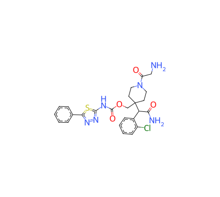 NCC(=O)N1CCC(COC(=O)Nc2nnc(-c3ccccc3)s2)(C(C(N)=O)c2ccccc2Cl)CC1